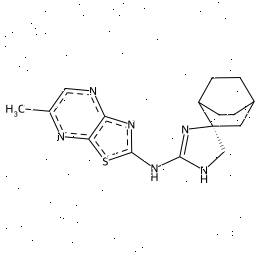 Cc1cnc2nc(NC3=N[C@]4(CN3)CC3CCC4CC3)sc2n1